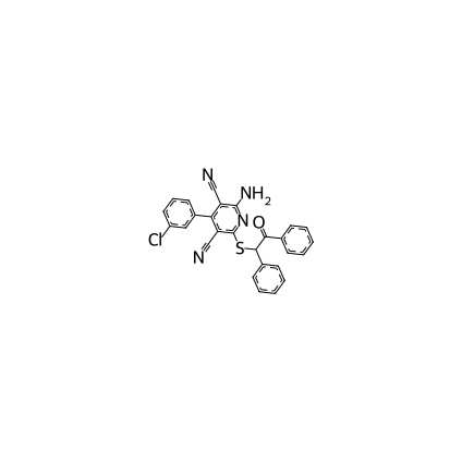 N#Cc1c(N)nc(SC(C(=O)c2ccccc2)c2ccccc2)c(C#N)c1-c1cccc(Cl)c1